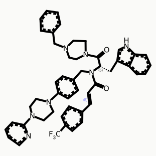 O=C([C@H](Cc1c[nH]c2ccccc12)N(Cc1ccc(N2CCN(c3ccccn3)CC2)cc1)C(=O)/C=C/c1ccc(C(F)(F)F)cc1)N1CCN(Cc2ccccc2)CC1